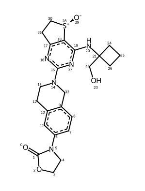 O=C1OCCN1c1ccc2c(c1)CCN(c1nc3c(c(NC4(CO)CCC4)n1)[S@+]([O-])CC3)C2